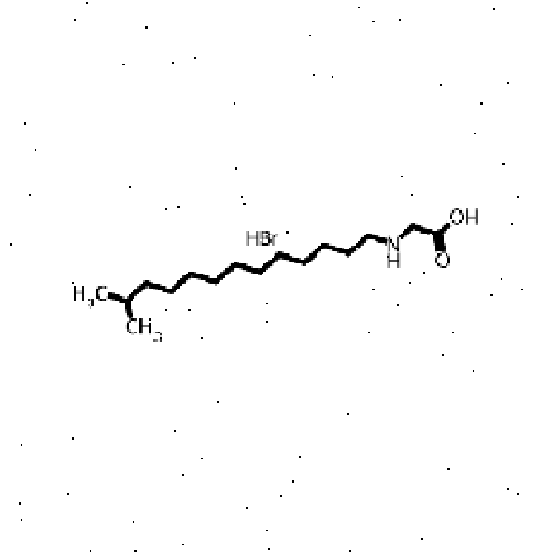 Br.CC(C)CCCCCCCCCCCNCC(=O)O